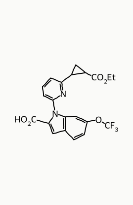 CCOC(=O)C1CC1c1cccc(-n2c(C(=O)O)cc3ccc(OC(F)(F)F)cc32)n1